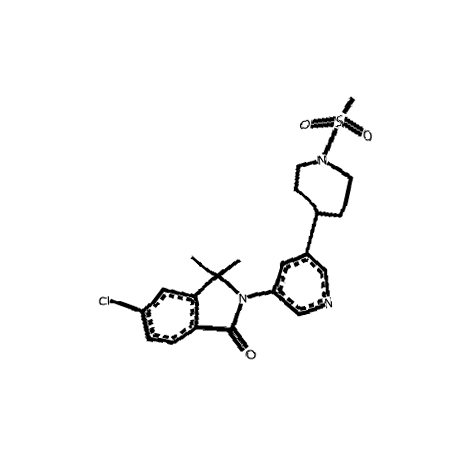 CC1(C)c2cc(Cl)ccc2C(=O)N1c1cncc(C2CCN(S(C)(=O)=O)CC2)c1